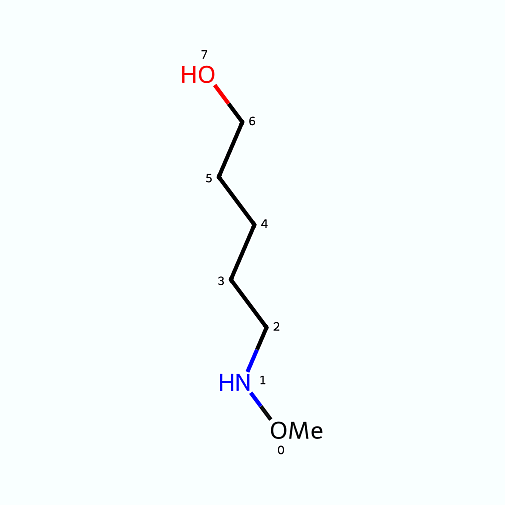 CONCCCCCO